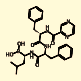 CC(C)C[C@H](NC(=O)[C@H](Cc1ccccc1)NC(=O)[C@H](Cc1ccccc1)NC(=O)c1cnccn1)B(O)O